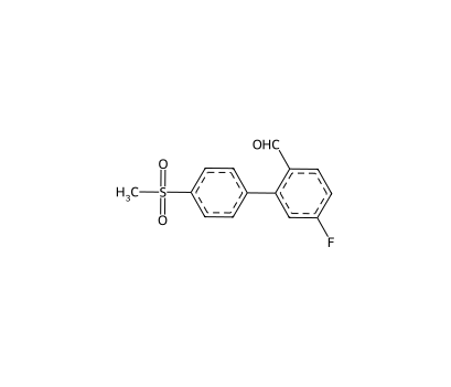 CS(=O)(=O)c1ccc(-c2cc(F)ccc2C=O)cc1